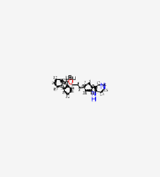 CC(C)(C)[Si](OCCCc1ccc2c(c1)[nH]c1ccncc12)(c1ccccc1)c1ccccc1